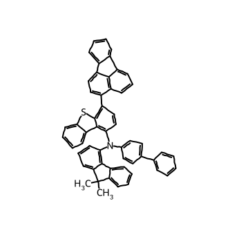 CC1(C)c2ccccc2-c2c(N(c3ccc(-c4ccccc4)cc3)c3ccc(-c4ccc5c6c(cccc46)-c4ccccc4-5)c4sc5ccccc5c34)cccc21